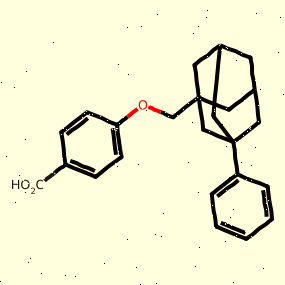 O=C(O)c1ccc(OCC23CC4CC(C2)CC(c2ccccc2)(C4)C3)cc1